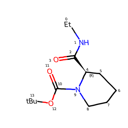 CCNC(=O)[C@H]1CCCCN1C(=O)OC(C)(C)C